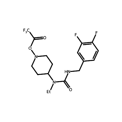 CCN(C(=O)NCc1ccc(F)c(F)c1)C1CCN(OC(=O)C(F)(F)F)CC1